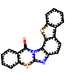 O=c1c2ccccc2sc2nc3ccc4c5ccccc5sc4c3n12